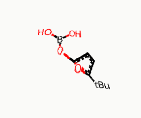 CC(C)(C)c1ccc(OB(O)O)o1